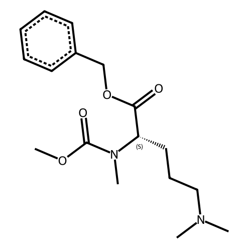 COC(=O)N(C)[C@@H](CCCN(C)C)C(=O)OCc1ccccc1